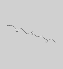 CCOC[CH]SCCOCC